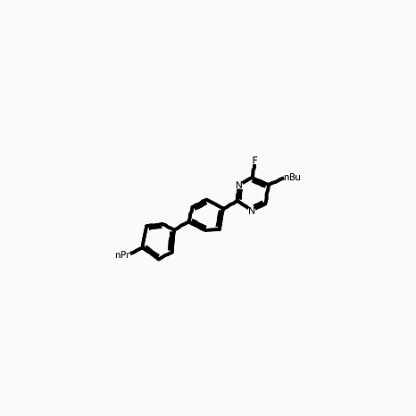 CCCCc1cnc(-c2ccc(-c3ccc(CCC)cc3)cc2)nc1F